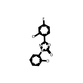 O=c1oc(-c2ccc(F)cc2Cl)nn1-c1ccccc1Cl